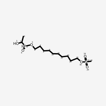 CC(O)[PH](=O)OCCCCCCCCCCOS(C)(=O)=O